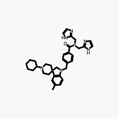 Cc1ccc2c(c1)C1(CCN(C3CCCCC3)CC1)CN2Cc1ccc(C(=O)N(Cc2ncc[nH]2)Cc2ncc[nH]2)cc1